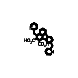 O=C(O)c1c(C(=O)O)c2c3c(cccc3c1Cc1ccccn1)-c1ccc(Cc3ccccn3)cc1-2